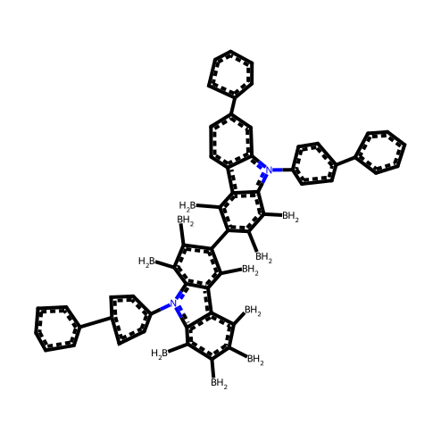 Bc1c(B)c(B)c2c(c1B)c1c(B)c(-c3c(B)c(B)c4c(c3B)c3ccc(-c5ccccc5)cc3n4-c3ccc(-c4ccccc4)cc3)c(B)c(B)c1n2-c1ccc(-c2ccccc2)cc1